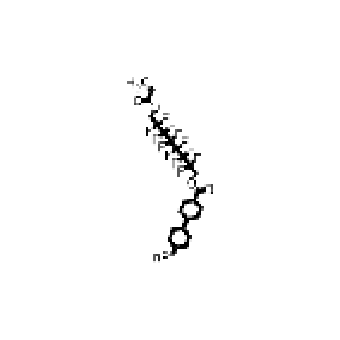 C=CC(=O)OCC(F)(F)C(F)(F)C(F)(F)C(F)(F)C(F)(F)C(F)(F)COC(=O)C1CCC(C2CCC(CCC)CC2)CC1